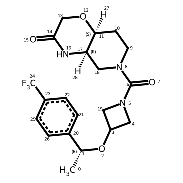 C[C@@H](OC1CN(C(=O)N2CC[C@@H]3OCC(=O)N[C@@H]3C2)C1)c1ccc(C(F)(F)F)cc1